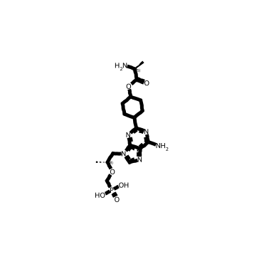 C[C@H](Cn1cnc2c(N)nc(C3CCC(OC(=O)[C@H](C)N)CC3)nc21)OCP(=O)(O)O